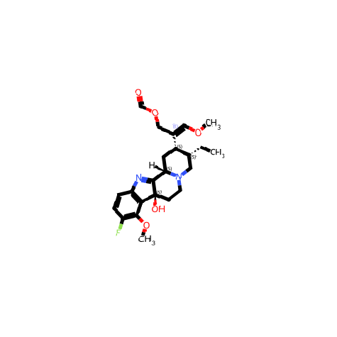 CC[C@@H]1CN2CC[C@@]3(O)C(=Nc4ccc(F)c(OC)c43)[C@@H]2C[C@@H]1/C(=C\OC)COC=O